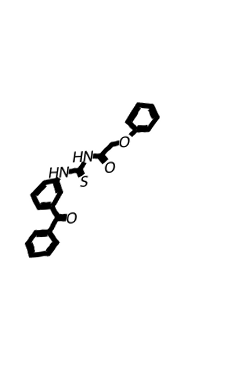 O=C(COc1ccccc1)NC(=S)Nc1cccc(C(=O)c2ccccc2)c1